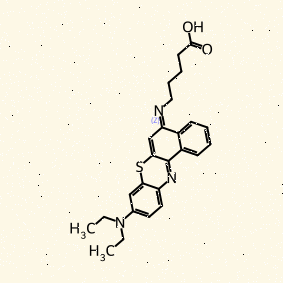 CCN(CC)c1ccc2nc3c4ccccc4/c(=N\CCCCC(=O)O)cc-3sc2c1